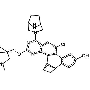 CN(C)CC1(COc2nc(N3CC4CCC(C3)N4)c3cc(Cl)c4c(c3n2)C2C3CC2(C3)c2ccc(O)cc2-4)CC1